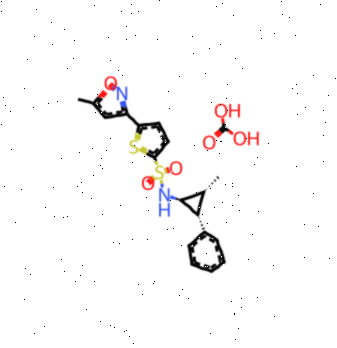 Cc1cc(-c2ccc(S(=O)(=O)N[C@H]3[C@H](C)[C@@H]3c3ccccc3)s2)no1.O=C(O)O